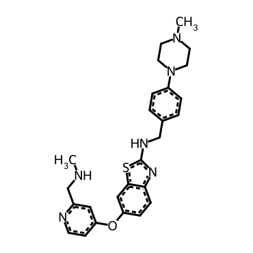 CNCc1cc(Oc2ccc3nc(NCc4ccc(N5CCN(C)CC5)cc4)sc3c2)ccn1